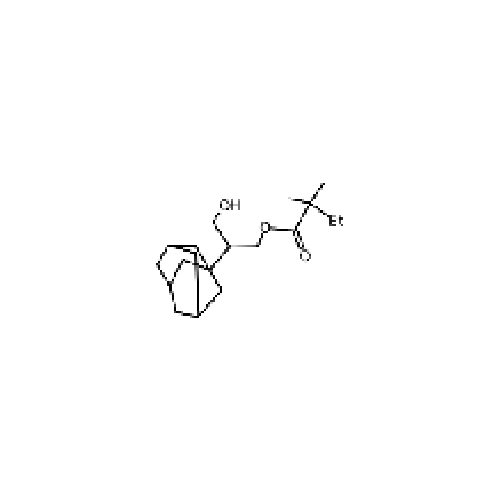 CCC(C)(C)C(=O)OCC(CO)C12CC3CC(CC(C3)C1)C2